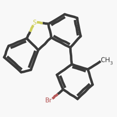 Cc1ccc(Br)cc1-c1cccc2sc3ccccc3c12